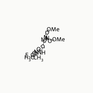 COCCOc1nn(Cc2ccc(OC)cc2)c2ncc(-c3ccc(CC(=O)Nc4cc(C(C)(C)C(F)(F)F)on4)cc3)cc12